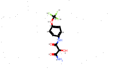 NC(=O)C(O)C(=O)Nc1ccc(OC(F)(F)F)cc1